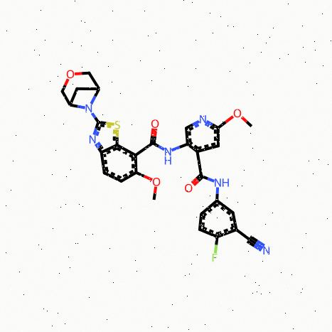 COc1cc(C(=O)Nc2ccc(F)c(C#N)c2)c(NC(=O)c2c(OC)ccc3nc(N4C5COCC4C5)sc23)cn1